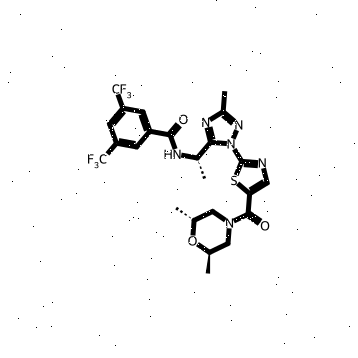 Cc1nc([C@H](C)NC(=O)c2cc(C(F)(F)F)cc(C(F)(F)F)c2)n(-c2ncc(C(=O)N3C[C@@H](C)O[C@H](C)C3)s2)n1